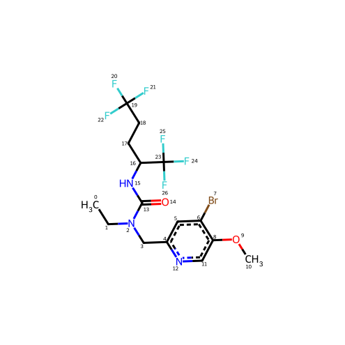 CCN(Cc1cc(Br)c(OC)cn1)C(=O)NC(CCC(F)(F)F)C(F)(F)F